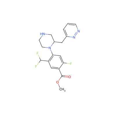 COC(=O)c1cc(C(F)F)c(N2CCNCC2Cc2cccnn2)cc1F